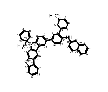 CC1C=CC=C(c2cc(-c3ccc4c(c3)c3cc5c(cc3n4C3(C)C=CC=CC3)sc3ccccc35)ccc2Nc2ccc3ccccc3c2)C1